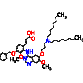 CCCCCCCCN(CCCCCCCC)CCCOc1cc2c(Nc3c(/C=C/C(=O)O)ccc(OCc4ccccc4)c3OC)ncnc2cc1OC